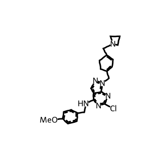 COc1ccc(CNc2nc(Cl)nc3c2cnn3CC2=CC=C(CN3CCC3)CC2)cc1